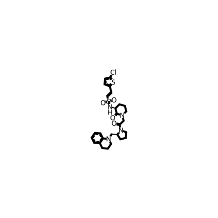 O=C1[C@@H](NS(=O)(=O)/C=C/c2ccc(Cl)s2)CCCN1CC(=O)N1CCC[C@H]1CN1CCCc2ccccc21